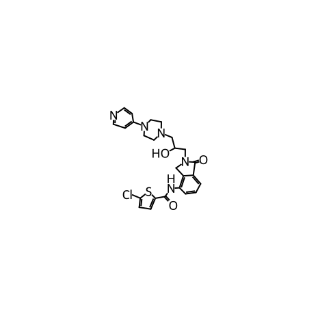 O=C(Nc1cccc2c1CN(CC(O)CN1CCN(c3ccncc3)CC1)C2=O)c1ccc(Cl)s1